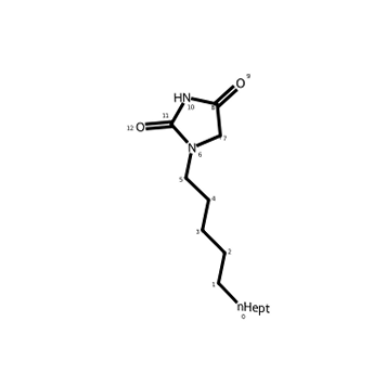 CCCCCCCCCCCCN1[CH]C(=O)NC1=O